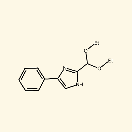 CCOC(OCC)c1nc(-c2ccccc2)c[nH]1